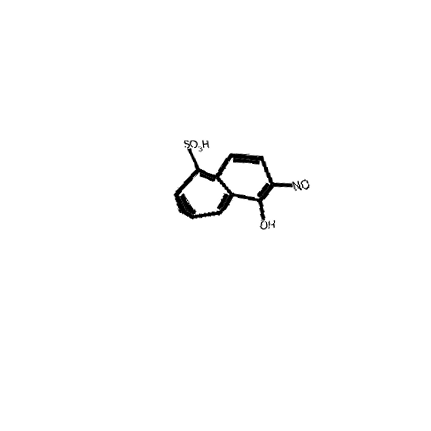 O=Nc1ccc2c(S(=O)(=O)O)cccc2c1O